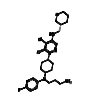 NCCCN(c1ccc(F)cc1)C1CCC(n2ncc(NC[C@H]3CCCOC3)c(Cl)c2=O)CC1